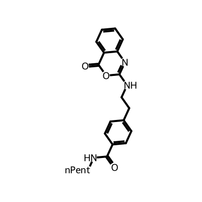 CCCCCNC(=O)c1ccc(CCNc2nc3ccccc3c(=O)o2)cc1